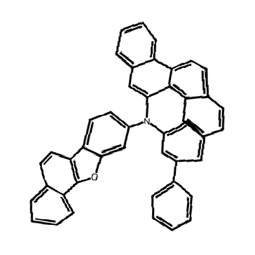 c1ccc(-c2cccc(N(c3ccc4c(c3)oc3c5ccccc5ccc43)c3cc4ccccc4c4ccc5ccccc5c34)c2)cc1